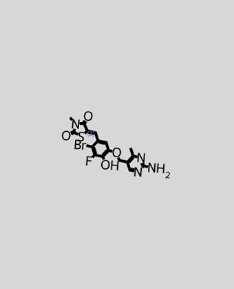 Cc1nc(N)ncc1COc1cc(/C=C2\SC(=O)N(C)C2=O)c(Br)c(F)c1O